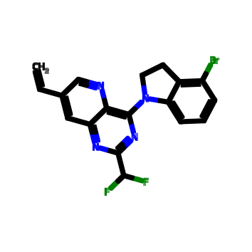 C=Cc1cnc2c(N3CCc4c(Br)cccc43)nc(C(F)F)nc2c1